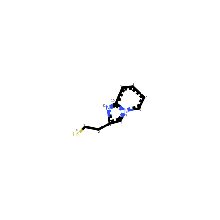 SCCc1cn2ccccc2n1